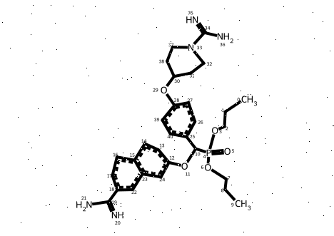 CCCOP(=O)(OCCC)C(Oc1ccc2ccc(C(=N)N)cc2c1)c1ccc(OC2CCN(C(=N)N)CC2)cc1